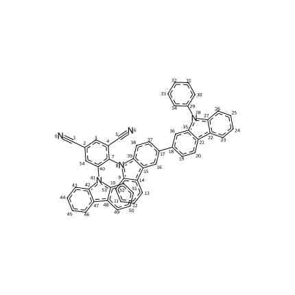 N#Cc1cc(C#N)c(-n2c3ccccc3c3cc(-c4ccc5c6ccccc6n(-c6ccccc6)c5c4)ccc32)c(-n2c3ccccc3c3ccccc32)c1